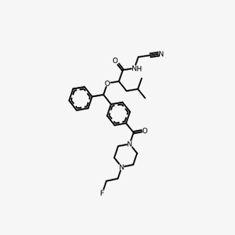 CC(C)CC(OC(c1ccccc1)c1ccc(C(=O)N2CCN(CCF)CC2)cc1)C(=O)NCC#N